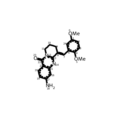 COc1ccc(OC)c(C=C2CCCn3c2nc2cc(N)ccc2c3=O)c1